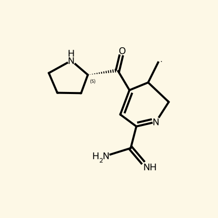 [CH2]C1CN=C(C(=N)N)C=C1C(=O)[C@@H]1CCCN1